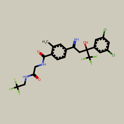 Cc1cc(C(=N)CC(O)(c2cc(Cl)cc(Cl)c2)C(F)(F)F)ccc1C(=O)NCC(=O)NCC(F)(F)F